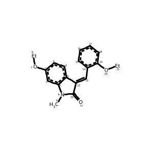 CCOc1ccc2c(c1)N(C)C(=O)/C2=C/c1ccccc1OCC